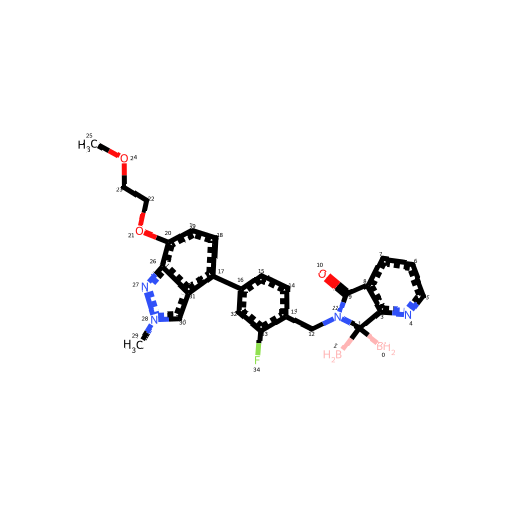 BC1(B)c2ncccc2C(=O)N1Cc1ccc(-c2ccc(OCCOC)c3nn(C)cc23)cc1F